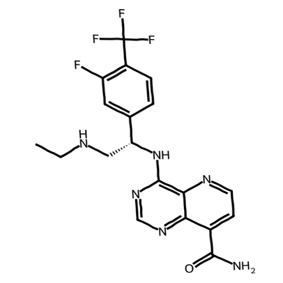 CCNC[C@@H](Nc1ncnc2c(C(N)=O)ccnc12)c1ccc(C(F)(F)F)c(F)c1